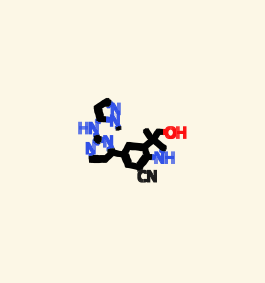 Cn1nccc1Nc1nccc(-c2cc(C#N)c3c(c2)C(C)(CO)CN3)n1